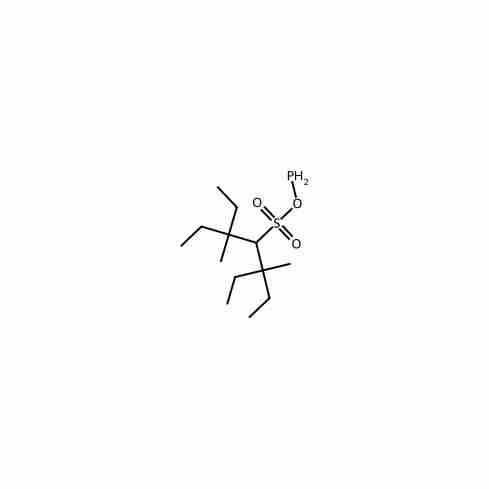 CCC(C)(CC)C(C(C)(CC)CC)S(=O)(=O)OP